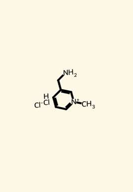 C[n+]1cccc(CN)c1.Cl.[Cl-]